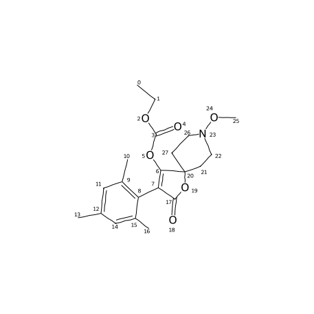 CCOC(=O)OC1=C(c2c(C)cc(C)cc2C)C(=O)OC12CCN(OC)CC2